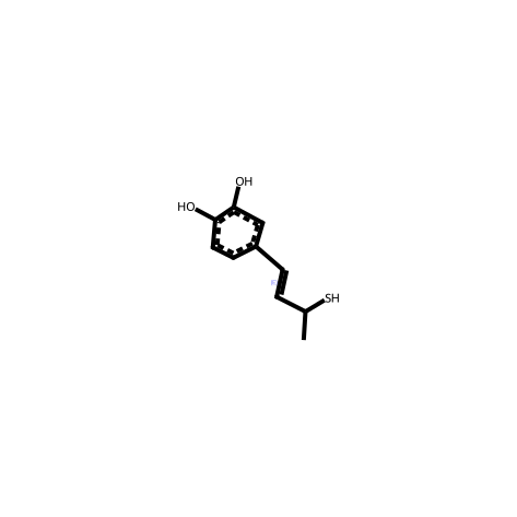 CC(S)/C=C/c1ccc(O)c(O)c1